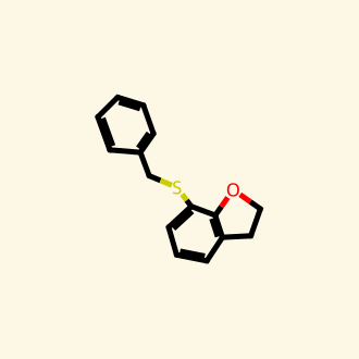 c1ccc(CSc2cccc3c2OCC3)cc1